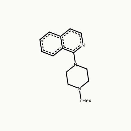 CCCCCCN1CCN(c2nccc3ccccc23)CC1